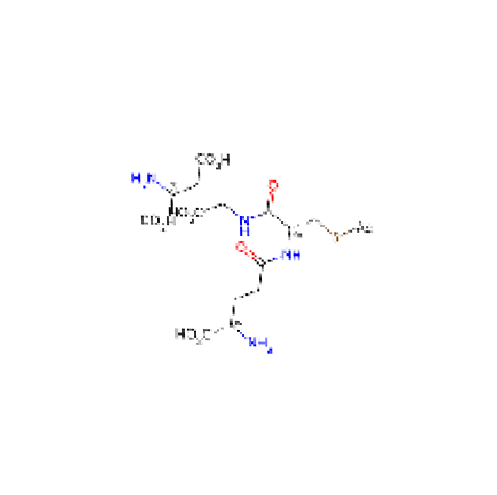 CC(=O)SC[C@H](NC(=O)CC[C@H](N)C(=O)O)C(=O)NCC(=O)O.N[C@@H](CC(=O)O)C(=O)O